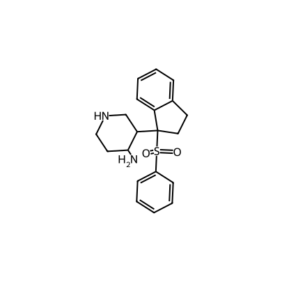 NC1CCNCC1C1(S(=O)(=O)c2ccccc2)CCc2ccccc21